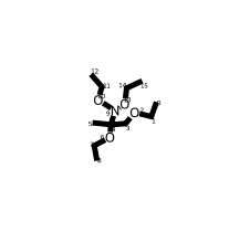 CCOCC(C)(OCC)N(OCC)OCC